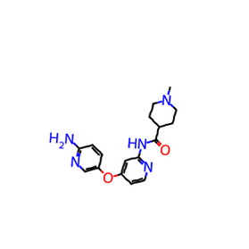 CN1CCC(C(=O)Nc2cc(Oc3ccc(N)nc3)ccn2)CC1